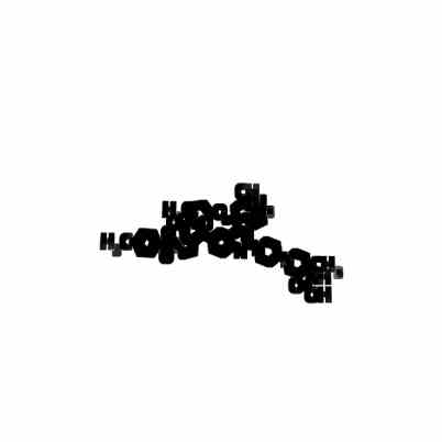 Cc1ccc(S(=O)(=O)n2ccc3c(-c4ccc5nc(N6CCC(N7CCC(C)(NC(=O)O)CC7)CC6)nc(C(COC6CCCCO6)(CC(C)C)c6cccs6)c5c4)cn(C)c(=O)c32)cc1